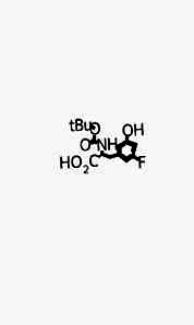 CC(C)(C)OC(=O)N[C@@H](Cc1cc(O)cc(F)c1)C(=O)O